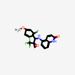 COc1ccc(C(Nc2cccc3[nH]c(=O)ccc23)C2(C(F)(F)F)CO2)c(F)c1